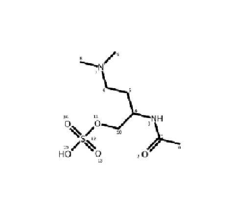 CC(=O)NC(CCN(C)C)COS(=O)(=O)O